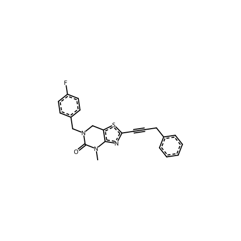 CN1C(=O)N(Cc2ccc(F)cc2)Cc2sc(C#CCc3ccccc3)nc21